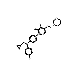 O=c1c(Cl)c(NC[C@H]2CCCOC2)cnn1-c1ccc(N(CC2CC2)c2ccc(F)cc2)cc1